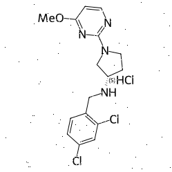 COc1ccnc(N2CC[C@H](NCc3ccc(Cl)cc3Cl)C2)n1.Cl